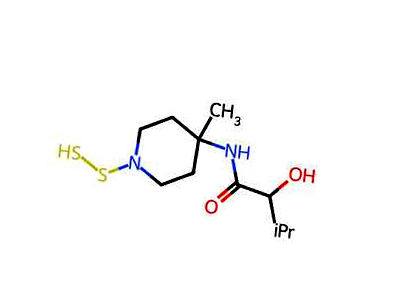 CC(C)C(O)C(=O)NC1(C)CCN(SS)CC1